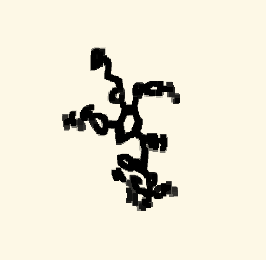 COc1cc(NC(=O)OC(C)(C)C)cc(OC)c1OCCCBr